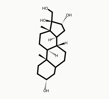 C[C@]12CC[C@@H](O)CC1CC[C@@H]1[C@@H]2CC[C@@]2(C)[C@H]1C[C@@H](O)[C@@]2(O)CO